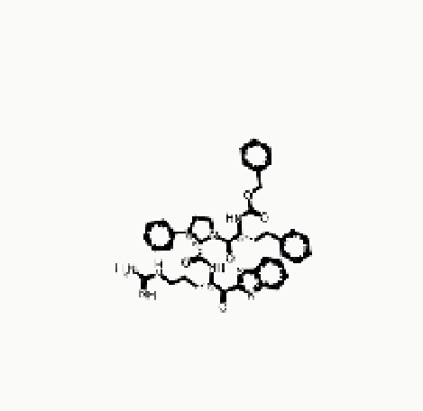 N=C(N)NCCC[C@H](NC(=O)[C@@H]1[C@@H](c2ccccc2)CCN1C(=O)[C@@H](CCc1ccccc1)NC(=O)OCc1ccccc1)C(=O)c1nc2ccccc2s1